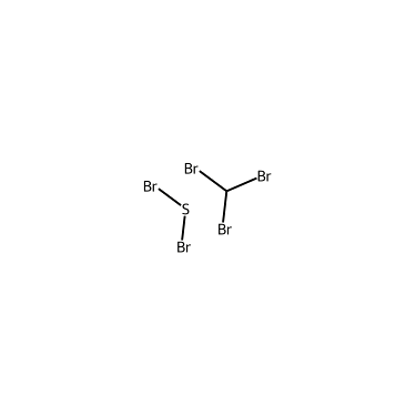 BrC(Br)Br.BrSBr